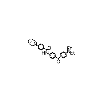 CCN(CC)c1ccc(C(=O)c2ccc(NC(=O)c3ccc(N4CCOCC4)cc3)cc2)cc1